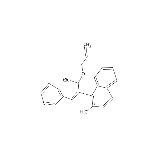 C=CCOC(/C(=C\c1cccnc1)c1c(C)ccc2ccccc12)C(C)(C)C